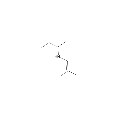 CCC(C)NC=C(C)C